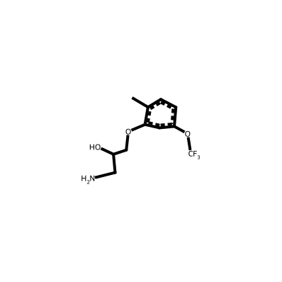 Cc1ccc(OC(F)(F)F)cc1OCC(O)CN